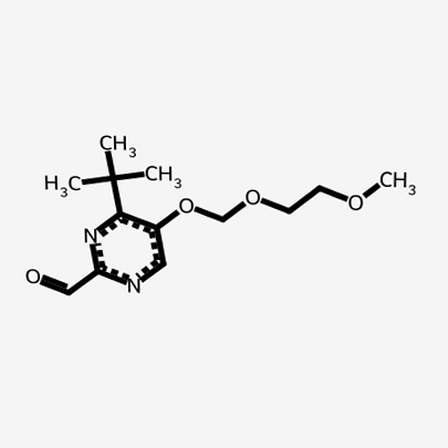 COCCOCOc1cnc(C=O)nc1C(C)(C)C